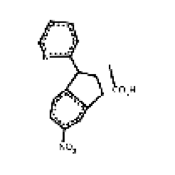 CC(=O)O.O=[N+]([O-])c1ccc2c(c1)CCC2c1ccccn1